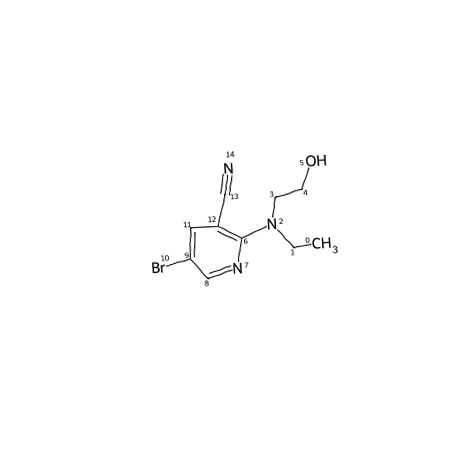 CCN(CCO)c1ncc(Br)cc1C#N